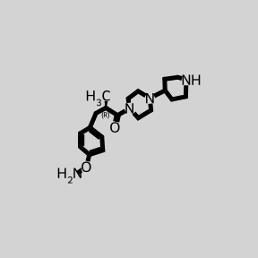 C[C@H](Cc1ccc(ON)cc1)C(=O)N1CCN(C2CCNCC2)CC1